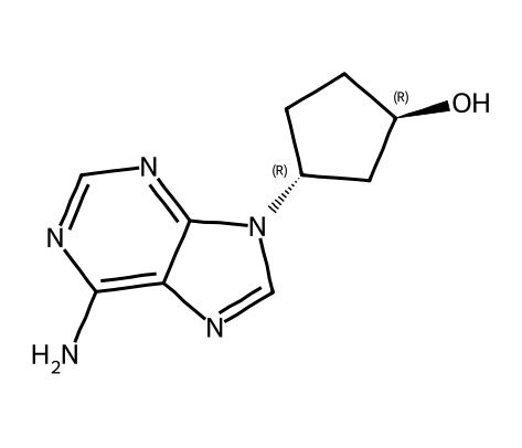 Nc1ncnc2c1ncn2[C@@H]1CC[C@@H](O)C1